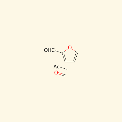 C=O.CC(C)=O.O=Cc1ccco1